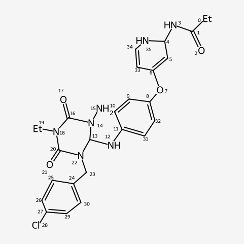 CCC(=O)NC1C=C(Oc2ccc(NC3N(N)C(=O)N(CC)C(=O)N3Cc3ccc(Cl)cc3)cc2)C=CN1